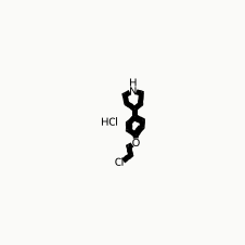 Cl.ClCCOc1ccc(C2CCNCC2)cc1